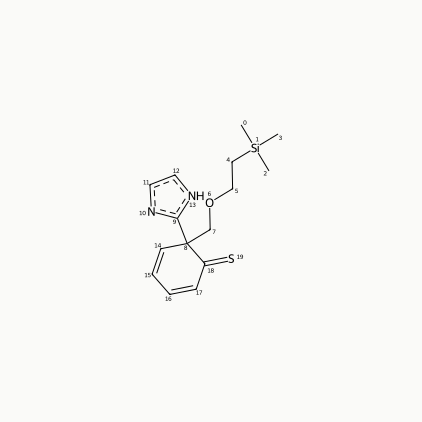 C[Si](C)(C)CCOCC1(c2ncc[nH]2)C=CC=CC1=S